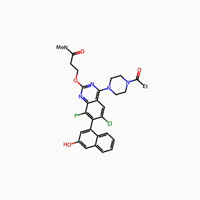 CCC(=O)N1CCN(c2nc(OCCC(=O)NC)nc3c(F)c(-c4cc(O)cc5ccccc45)c(Cl)cc23)CC1